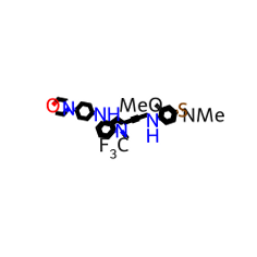 CNSc1ccc(NCC#Cc2cc3c(NC4CCC(N5CCOCC5)CC4)cccc3n2CC(F)(F)F)c(OC)c1